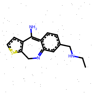 CCNCc1ccc2c(c1)=NCc1sccc1C=2N